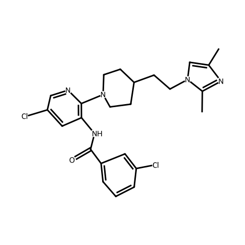 Cc1cn(CCC2CCN(c3ncc(Cl)cc3NC(=O)c3cccc(Cl)c3)CC2)c(C)n1